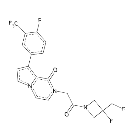 O=C(Cn1ccn2ccc(-c3ccc(F)c(C(F)(F)F)c3)c2c1=O)N1CC(F)(CF)C1